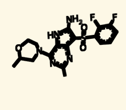 Cc1nc(N2CCOC(C)C2)c2[nH]c(N)c(S(=O)(=O)c3cccc(F)c3F)c2n1